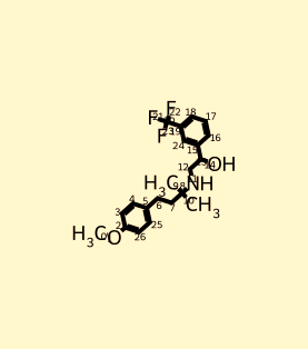 COc1ccc(CCC(C)(C)NCC(O)c2cccc(C(F)(F)F)c2)cc1